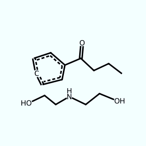 CCCC(=O)c1ccccc1.OCCNCCO